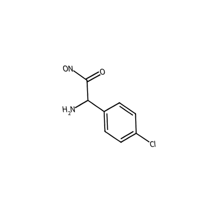 NC(C(=O)N=O)c1ccc(Cl)cc1